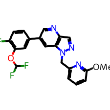 COc1cccc(Cn2ncc3ncc(-c4ccc(F)c(OC(F)F)c4)cc32)n1